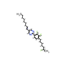 CCCCCCC/C=C/c1cnc(-c2ccc(CCCCCC(C)F)c(F)c2F)nc1